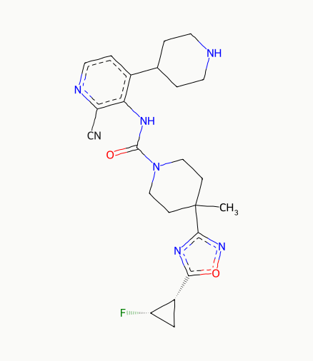 CC1(c2noc([C@@H]3C[C@@H]3F)n2)CCN(C(=O)Nc2c(C3CCNCC3)ccnc2C#N)CC1